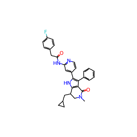 CN1CC(CC2CC2)c2[nH]c(-c3ccnc(NC(=O)Cc4ccc(F)cc4)c3)c(-c3ccccc3)c2C1=O